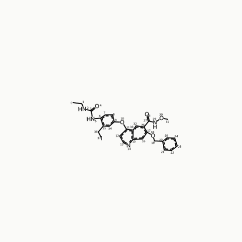 CCNC(=O)Nc1ccc(Oc2ccnc3cc(OCc4ccccc4)c(C(=O)NOC)cc23)cc1CI